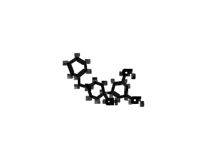 OC1(c2cc(C(F)(F)F)cc(C(F)(F)F)c2)CCN(Cc2ccccc2)CC1